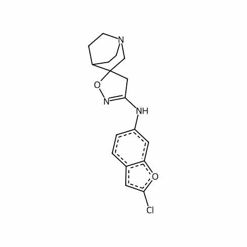 Clc1cc2ccc(NC3=NOC4(C3)CN3CCC4CC3)cc2o1